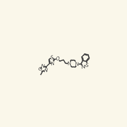 Cc1nc(-c2csc(OCCCN3CCN(c4nsc5ccccc45)CC3)n2)no1